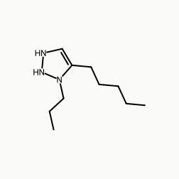 CCCCCC1=CNNN1CCC